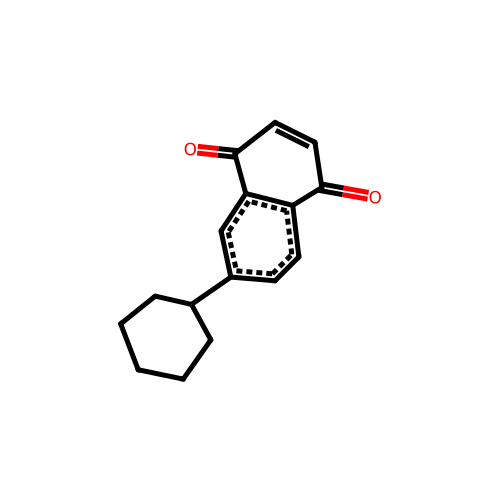 O=C1C=CC(=O)c2cc(C3CCCCC3)ccc21